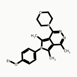 CCOc1ccc(-n2c(C)c3c(C)nnc(N4CCOCC4)c3c2C)cc1